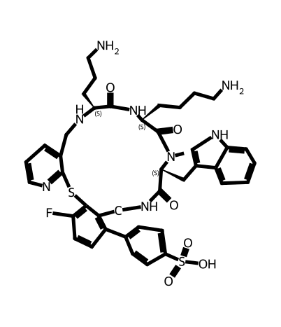 CN1C(=O)[C@H](CCCCN)NC(=O)[C@H](CCCN)NCc2cccnc2Sc2c(F)ccc(-c3ccc(S(=O)(=O)O)cc3)c2CNC(=O)[C@@H]1Cc1c[nH]c2ccccc12